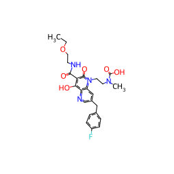 CCOCCNC(=O)c1c(O)c2ncc(Cc3ccc(F)cc3)cc2n(CCN(C)C(=O)O)c1=O